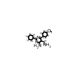 COc1ccc(-c2nc(-c3ccccc3)nc(N)c2CN)cc1